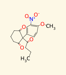 CCCC(=O)C1(c2ccc(OC)c([N+](=O)[O-])c2)C(=O)CCCC1=O